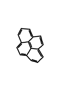 [c]1ccc2c[c]c3cccc4ccc1c2c34